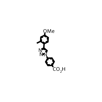 COc1ccc(-c2cn(-c3ccc(C(=O)O)cc3)nn2)c(C)c1